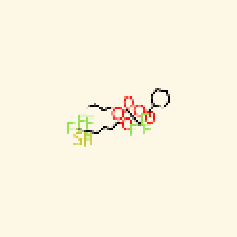 CCCCOC(=O)C(OCCCCC(F)(F)C(F)(F)S)(OC(=O)C1CCCCC1)C(F)(F)F